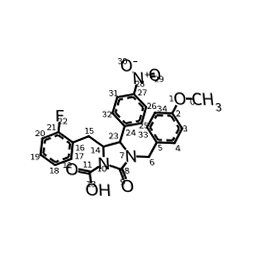 COc1ccc(CN2C(=O)N(C(=O)O)C(Cc3ccccc3F)C2c2ccc([N+](=O)[O-])cc2)cc1